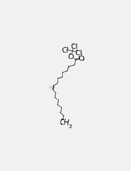 CCCCCCCC/C=C\CCCCCCCC(=O)OC(Cl)(Cl)Cl